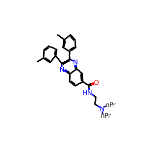 CCCN(CCC)CCNC(=O)c1ccc2nc(-c3cccc(C)c3)c(-c3cccc(C)c3)nc2c1